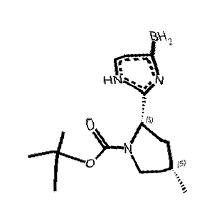 Bc1c[nH]c([C@@H]2C[C@H](C)CN2C(=O)OC(C)(C)C)n1